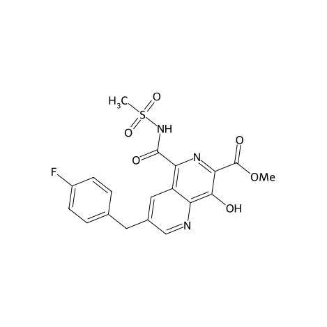 COC(=O)c1nc(C(=O)NS(C)(=O)=O)c2cc(Cc3ccc(F)cc3)cnc2c1O